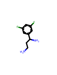 NCCC(N)c1cc(F)cc(F)c1